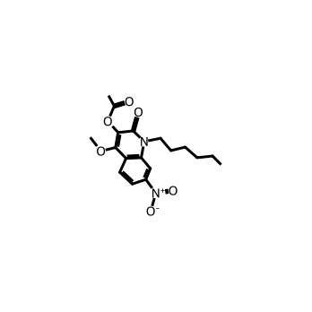 CCCCCCn1c(=O)c(OC(C)=O)c(OC)c2ccc([N+](=O)[O-])cc21